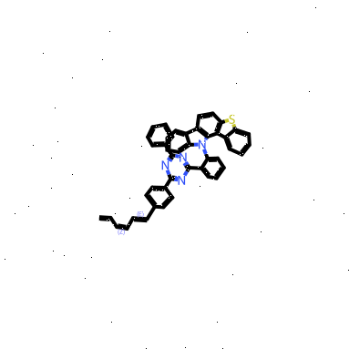 C=C/C=C\C=C\c1ccc(-c2nc(-c3ccccc3)nc(-c3ccccc3-n3c4ccccc4c4ccc5sc6ccccc6c5c43)n2)cc1